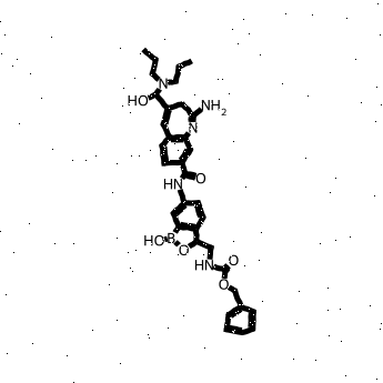 CCCN(CCC)C(O)C1=Cc2ccc(C(=O)Nc3ccc4c(c3)B(O)OC4CNC(=O)OCc3ccccc3)cc2N=C(N)C1